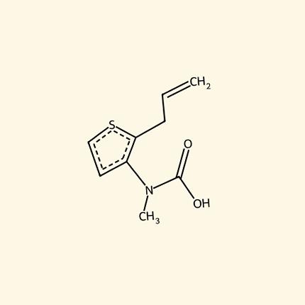 C=CCc1sccc1N(C)C(=O)O